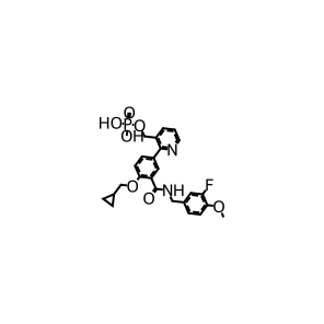 COc1ccc(CNC(=O)c2cc(-c3ncccc3COP(=O)(O)O)ccc2OCC2CC2)cc1F